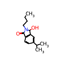 CCCCN1C(=O)c2ccc(C(C)C)cc2C1O